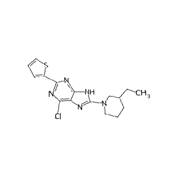 CCC1CCCN(c2nc3c(Cl)nc(-c4cccs4)nc3[nH]2)C1